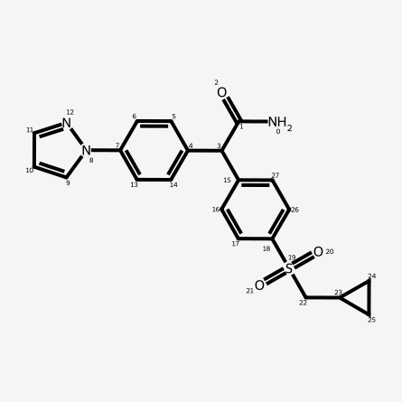 NC(=O)C(c1ccc(-n2cccn2)cc1)c1ccc(S(=O)(=O)CC2CC2)cc1